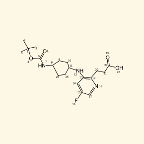 CC(C)(C)OC(=O)NC1CCC(Nc2cc(F)cnc2CCC(=O)O)CC1